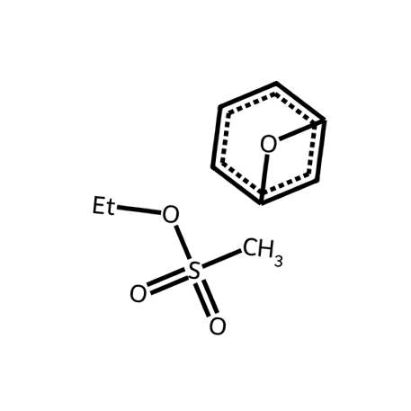 CCOS(C)(=O)=O.c1cc2cc(c1)O2